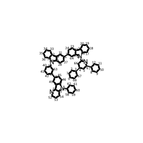 c1ccc(-c2cc(-c3ccccc3)nc(-n3c4ccccc4c4ccc(-c5ccc6c(c5)c5ccccc5n6-c5cccc(-c6ccc7c(c6)c6ncccc6n7-c6ccccc6)c5)cc43)c2)cc1